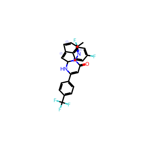 CC1=N/N2C(=O)C=C(c3ccc(C(F)(F)F)cc3)NC2/C=C(c2ccc(F)cc2F)/C=C\1